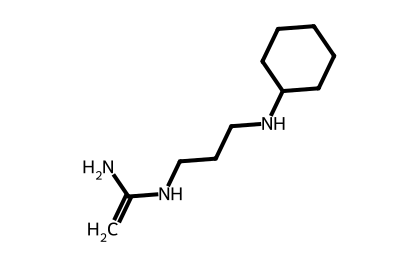 C=C(N)NCCCNC1CCCCC1